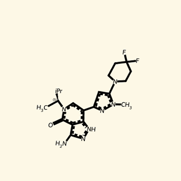 CC(C)[C@H](C)n1cc(-c2cc(N3CCC(F)(F)CC3)n(C)n2)c2[nH]nc(N)c2c1=O